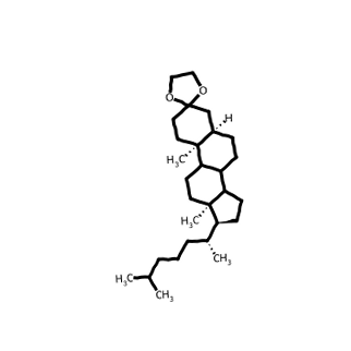 CC(C)CCC[C@@H](C)[C@@H]1CCC2C3CC[C@@H]4CC5(CC[C@]4(C)C3CC[C@@]21C)OCCO5